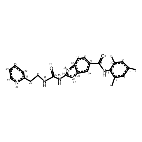 Cc1cc(C)c(NC(=O)c2ccc3nc(NC(=O)NCCc4ccccn4)sc3c2)c(C)c1